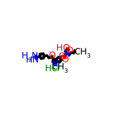 CCCCCN(CC(=O)O)C(=O)Oc1ccc2c(c1)c(C(=O)CCc1ccc(C(=N)N)cc1)cn2C.Cl